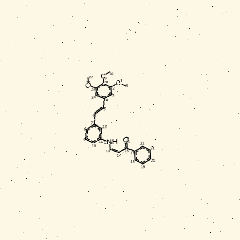 COc1cc(C=Cc2cccc(N/C=C\C(=O)c3ccccc3)c2)cc(OC)c1OC